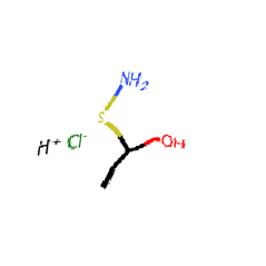 CC(O)SN.[Cl-].[H+]